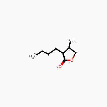 CCCCC1C(=O)OCC1C